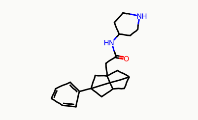 O=C(CC12CC3CC1CC3(c1ccccc1)C2)NC1CCNCC1